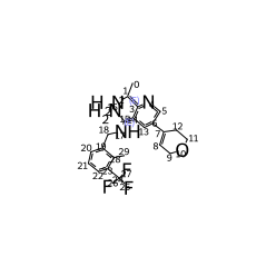 C/C(N)=c1\ncc(C2=CCOCC2)c\c1=C(\N)NCc1cccc(C(F)(F)F)c1C